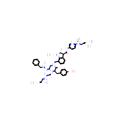 C=CCNCC(=O)N1C(NNCc2ccccc2)CN(Cc2cccc3c2N(C)CC3C(=O)Nc2ccc(NCC(C)(C)C)nc2)C(=O)C1Cc1ccc(O)cc1